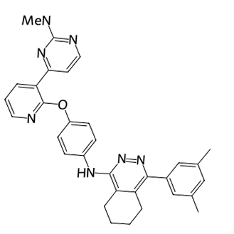 CNc1nccc(-c2cccnc2Oc2ccc(Nc3nnc(-c4cc(C)cc(C)c4)c4c3CCCC4)cc2)n1